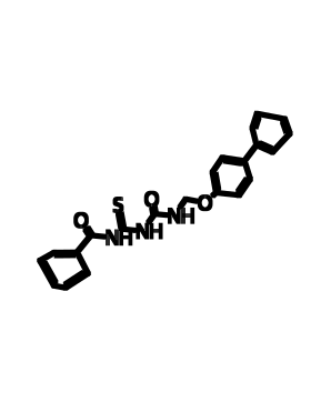 O=C(NCOc1ccc(-c2ccccc2)cc1)NC(=S)NC(=O)c1ccccc1